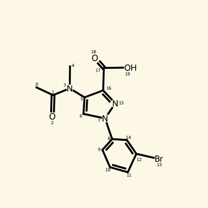 CC(=O)N(C)c1cn(-c2cccc(Br)c2)nc1C(=O)O